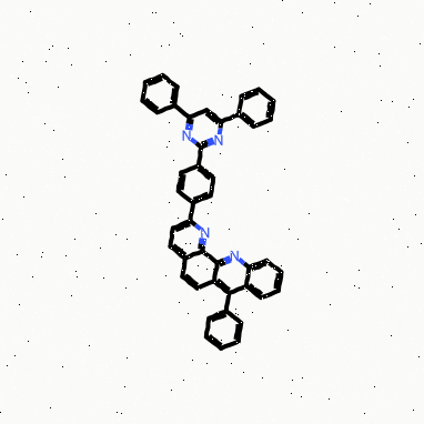 c1ccc(-c2cc(-c3ccccc3)nc(-c3ccc(-c4ccc5ccc6c(-c7ccccc7)c7ccccc7nc6c5n4)cc3)n2)cc1